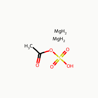 CC(=O)OS(=O)(=O)O.[MgH2].[MgH2]